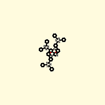 c1ccc(-c2nc(-c3ccccc3)nc(-c3ccc(-c4ccncc4-n4c5ccccc5c5cc(-c6nc(-c7ccccc7)nc(-c7ccccc7)n6)ccc54)c(-n4c5ccccc5c5cc(-c6nc(-c7ccccc7)nc(-c7ccccc7)n6)ccc54)c3)n2)cc1